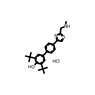 CNCc1nc(-c2ccc(-c3cc(C(C)(C)C)c(O)c(C(C)(C)C)c3)cc2)cs1.Cl